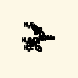 COc1ccc(S(=O)(=O)N2CCN(C)CC2)cc1Nc1ccc2c(n1)N(C1CCOCC1)[C@H](C)C(=O)N2C